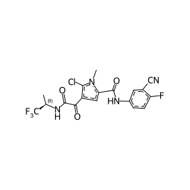 C[C@@H](NC(=O)C(=O)c1cc(C(=O)Nc2ccc(F)c(C#N)c2)n(C)c1Cl)C(F)(F)F